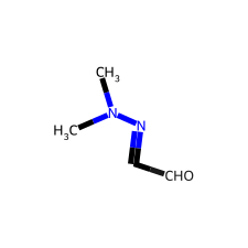 CN(C)N=CC=O